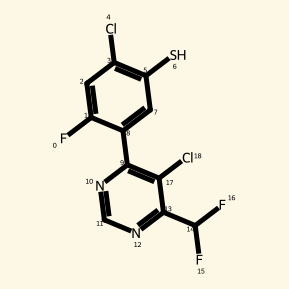 Fc1cc(Cl)c(S)cc1-c1ncnc(C(F)F)c1Cl